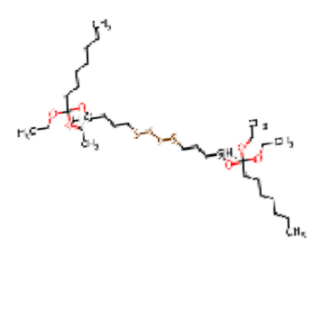 CCCCCCCC(OCC)(OCC)O[SiH2]CCCSSSSCCC[SiH2]OC(CCCCCCC)(OCC)OCC